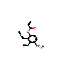 C=C=Cc1c(OC(=O)C=C)ccc(C(=O)O)c1C=C